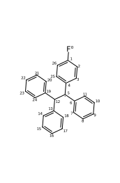 Fc1ccc([C](c2ccccc2)C(c2ccccc2)c2ccccc2)cc1